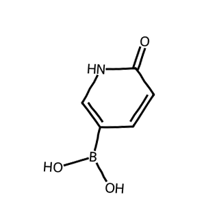 O=c1ccc(B(O)O)c[nH]1